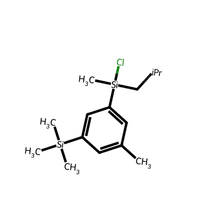 Cc1cc([Si](C)(C)C)cc([Si](C)(Cl)CC(C)C)c1